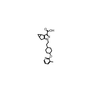 Cc1cccnc1OC1CCC(CCn2nc(C(=O)O)c3c2CC2CC32)CC1